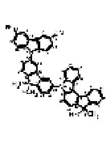 CC1(C)c2ccccc2-c2c1ccc1c2c2ccccc2n1-c1ccc2c(c1)-c1cc(-n3c4ccc(C#N)cc4c4cc(C#N)ccc43)ccc1[Si]2(C)C